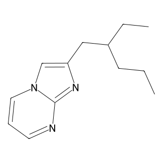 CCCC(CC)Cc1cn2cccnc2n1